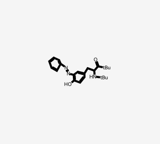 CC(C)(C)NC(Cc1ccc(O)c(N=Nc2ccccc2)c1)C(=O)C(C)(C)C